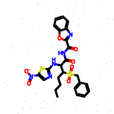 CCCCC(C(Nc1ncc([N+](=O)[O-])s1)C(=O)NC(=O)c1nc2ccccc2o1)S(=O)(=O)Cc1ccccc1